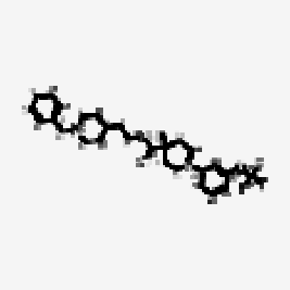 CC1(C(=O)NCCC2CCN(Cc3ccccc3)CC2)CCN(c2cccc(OC(F)(F)F)c2)CC1